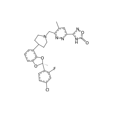 Cc1cc(-c2noc(=O)[nH]2)nnc1CN1CCC(c2cccc3c2O[C@@](C)(c2ccc(Cl)cc2F)O3)CC1